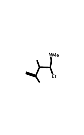 C=C(C)C(C)C(CC)CNC